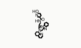 O=C(NCCCCN(Cc1nc2ccccc2[nH]1)C1CCCc2cccnc21)c1ccc(O)nc1